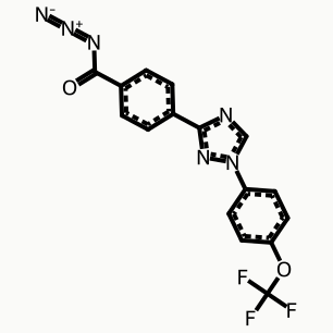 [N-]=[N+]=NC(=O)c1ccc(-c2ncn(-c3ccc(OC(F)(F)F)cc3)n2)cc1